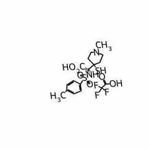 Cc1ccc(S(=O)(=O)N[C@H](C(=O)O)C2(S)CCN(C)CC2)cc1.O=C(O)C(F)(F)F